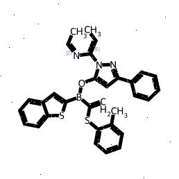 C=C(Sc1ccccc1C)B(Oc1cc(-c2ccccc2)nn1C(=C/C)/N=C\C)c1cc2ccccc2s1